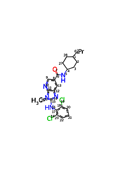 CC(C)C1CCC(NC(=O)c2cnc3c(c2)nc(Nc2c(Cl)cccc2Cl)n3C)CC1